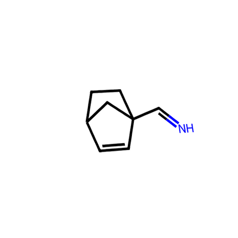 N=CC12C=CC(CC1)C2